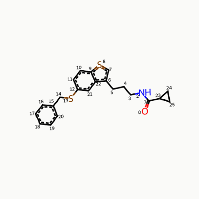 O=C(NCCCc1csc2ccc(SCc3ccccc3)cc12)C1CC1